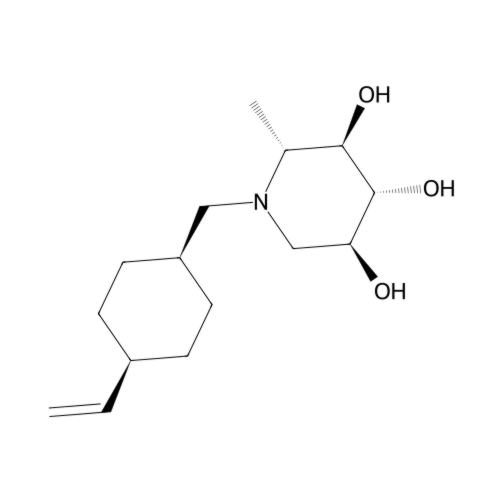 C=C[C@H]1CC[C@@H](CN2C[C@H](O)[C@@H](O)[C@H](O)[C@H]2C)CC1